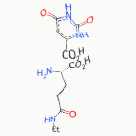 CCNC(=O)CC[C@H](N)C(=O)O.O=C(O)c1cc(=O)[nH]c(=O)[nH]1